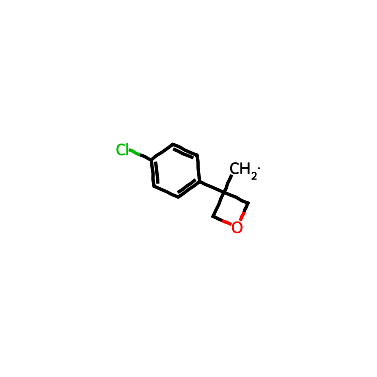 [CH2]C1(c2ccc(Cl)cc2)COC1